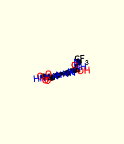 CC(C)(O)c1cc2nn(C3CCN(CCC(C)(C)N4CCN(c5ccc6c(c5)C(=O)N(C5CCC(=O)NC5=O)C6=O)CC4)CC3)cc2cc1NC(=O)c1cccc(C(F)(F)F)n1